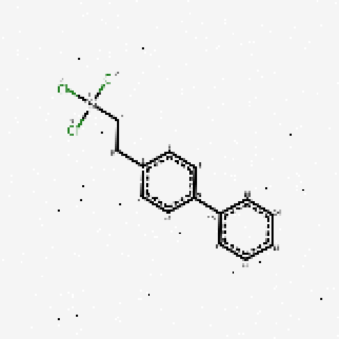 Cl[Si](Cl)(Cl)CCc1ccc(-c2ccccc2)cc1